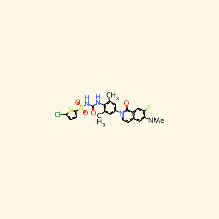 CNc1cc2ccn(-c3cc(C)c(NC(=O)NS(=O)(=O)c4ccc(Cl)s4)c(C)c3)c(=O)c2cc1F